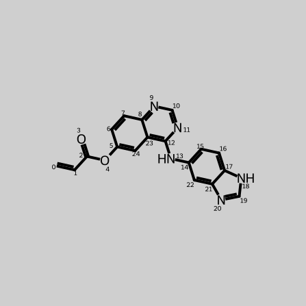 C=CC(=O)Oc1ccc2ncnc(Nc3ccc4[nH]cnc4c3)c2c1